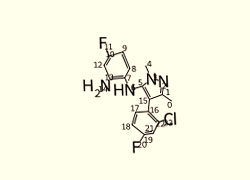 Cc1nn(C)c(Nc2ccc(F)cc2N)c1-c1ccc(F)cc1Cl